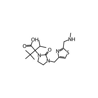 CNCc1nc(CN2CCN(C(C(=O)O)(C(C)C)C(C)(C)C)C2=O)cs1